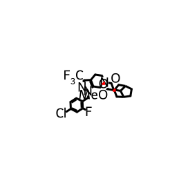 COC(=O)C1CC2CCC(C1)C2CC(=O)N1CCc2c(C(F)(F)F)nn(Cc3ccc(Cl)cc3F)c2C1